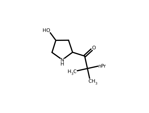 CCCC(C)(C)C(=O)C1CC(O)CN1